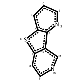 c1cnc2c(c1)sc1ccncc12